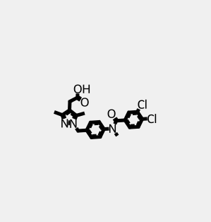 Cc1nn(Cc2ccc(N(C)C(=O)c3ccc(Cl)c(Cl)c3)cc2)c(C)c1CC(=O)O